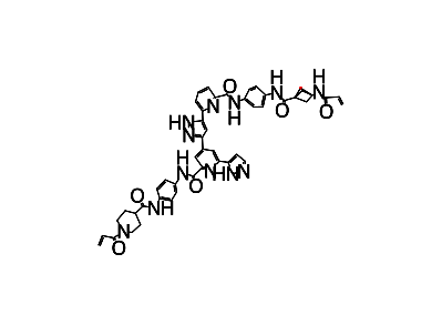 C=CC(=O)NC12CC(C(=O)Nc3ccc(NC(=O)c4cccc(-c5cc(-c6cc(C(=O)Nc7ccc(NC(=O)C8CCN(C(=O)C=C)CC8)cc7)nc(-c7ccn[nH]7)c6)n[nH]5)n4)cc3)(C1)C2